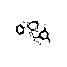 C[C@@H](O[C@H]1OCCN[C@H]1c1ccccc1)c1cc(F)cc(F)c1